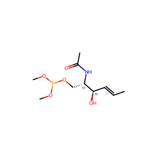 C/C=C/[C@@H](O)[C@H](COP(OC)OC)NC(C)=O